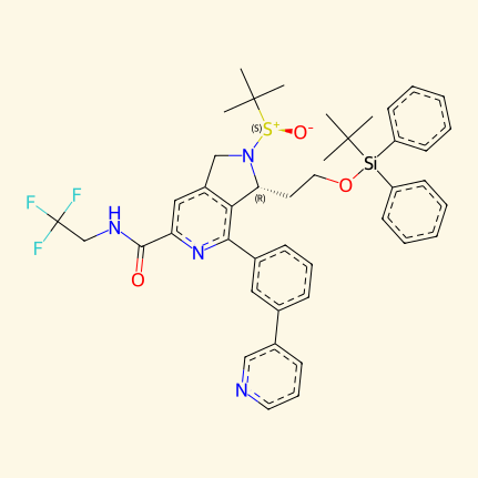 CC(C)(C)[S@@+]([O-])N1Cc2cc(C(=O)NCC(F)(F)F)nc(-c3cccc(-c4cccnc4)c3)c2[C@H]1CCO[Si](c1ccccc1)(c1ccccc1)C(C)(C)C